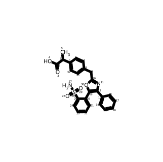 CC(C(=O)O)c1ccc(Cc2nc(-c3ccccc3)c(-c3ccccc3S(N)(=O)=O)o2)cc1